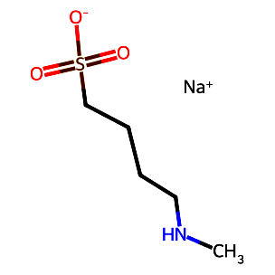 CNCCCCS(=O)(=O)[O-].[Na+]